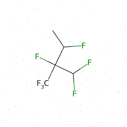 CC(F)C(F)(C(F)F)C(F)(F)F